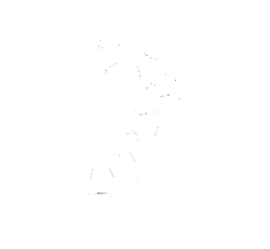 O=C(Nc1ccc(F)cc1F)c1ccc(C2=CNC3C=CC(C4=CCNC4)=CN23)cc1F